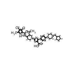 CO[C@H]1CN(c2nc(-c3cnc(N4CCN(CC5CCCC5)CC4)cn3)c(C(=O)O)s2)CC[C@H]1NC(=O)c1[nH]c(C)c(Cl)c1Cl